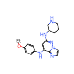 CCOc1ccc(Nc2cc(NC3CCCNC3)nn3ccnc23)cc1